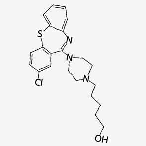 OCCCCCN1CCN(C2=Nc3ccccc3Sc3ccc(Cl)cc32)CC1